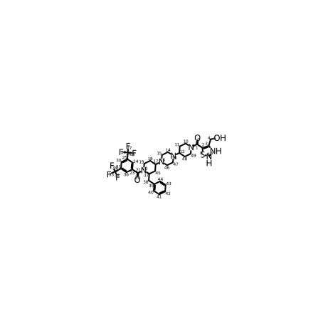 O=C(C1=C(CO)NNS1)N1CCC(N2CCN(C3CCN(C(=O)c4cc(C(F)(F)F)cc(C(F)(F)F)c4)C(Cc4ccccc4)C3)CC2)CC1